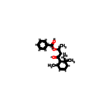 CC(CC(=O)C1C(C)C=CCC1(C)C)OC(=O)c1ccccc1